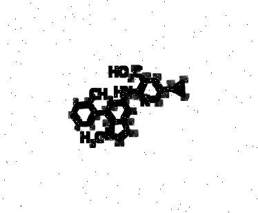 Cc1ccccc1-c1cc(Nc2ncc(C3CC3)cc2C(=O)O)cc2ccn(C)c12